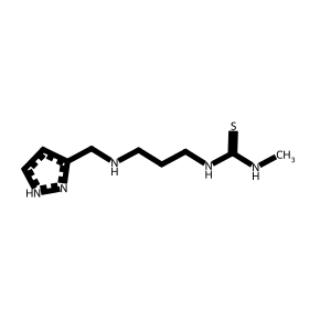 CNC(=S)NCCCNCc1cc[nH]n1